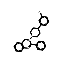 Clc1cccc(C2CCN(N3Cc4ccccc4N=C3c3ccccc3)CC2)c1